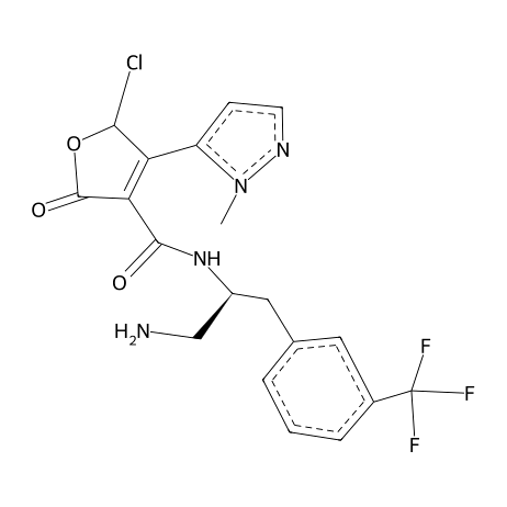 Cn1nccc1C1=C(C(=O)N[C@H](CN)Cc2cccc(C(F)(F)F)c2)C(=O)OC1Cl